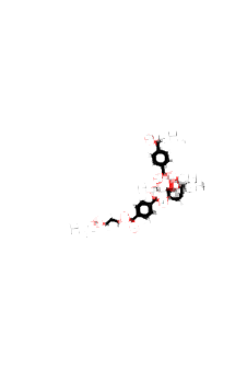 COCCCOC(=O)c1ccc(C(=O)OC2CC3CC(OC(=O)c4ccc(C(C)=O)cc4)C2(C)OC3(C)C)cc1